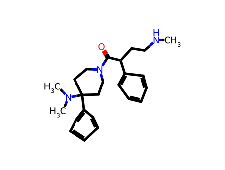 CNCCC(C(=O)N1CCC(c2ccccc2)(N(C)C)CC1)c1ccccc1